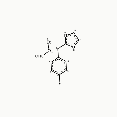 CCOC=O.Fc1ccc(Cc2nnco2)cc1